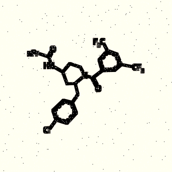 CCCC(=O)NC1CCN(C(=O)c2cc(C(F)(F)F)cc(C(F)(F)F)c2)C(Cc2ccc(Cl)cc2)C1